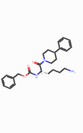 NCCCC[C@H](NC(=O)OCc1ccccc1)C(=O)N1CCC(c2ccccc2)CC1